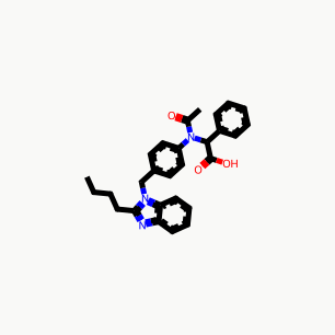 CCCCc1nc2ccccc2n1Cc1ccc(N(C(C)=O)C(C(=O)O)c2ccccc2)cc1